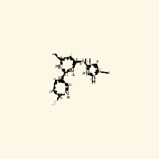 Cc1cc(Nc2cc(C)[nH]n2)nc(-c2ccc(F)nc2)n1